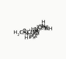 C=CC(=O)Nc1cccc(-c2c(F)ccc3cnc(Nc4ccc(NC5CNC5)cc4)nc23)c1